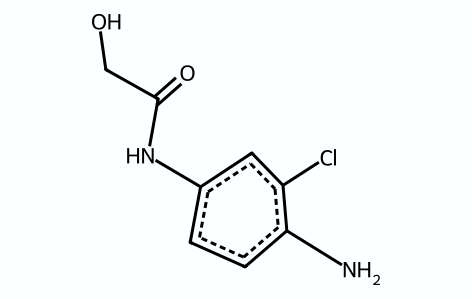 Nc1ccc(NC(=O)CO)cc1Cl